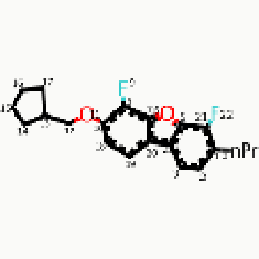 CCCc1ccc2c(oc3c(F)c(OCC4CCCC4)ccc32)c1F